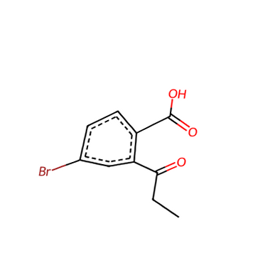 CCC(=O)c1cc(Br)ccc1C(=O)O